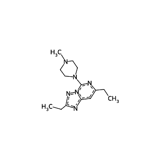 CCc1cc2nc(CC)nn2c(N2CCN(C)CC2)n1